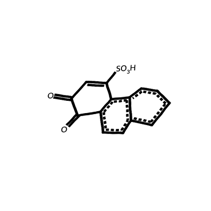 O=C1C=C(S(=O)(=O)O)c2c(ccc3ccccc23)C1=O